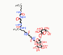 CC(CCCCNC(=O)CCCCC(=O)NCCO[C@H]1O[C@H](CO[C@H]2O[C@H](CO)[C@@H](O)[C@H](O)[C@@H]2O)[C@@H](O)[C@H](O[C@H]2O[C@H](CO)[C@@H](O)[C@H](O)[C@@H]2O)[C@@H]1O)NC(=O)CNCCCC(=O)NCC(=O)NCCCCCC(=O)O